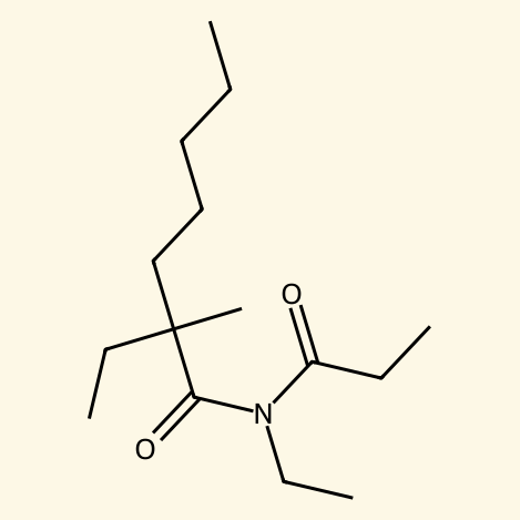 CCCCCC(C)(CC)C(=O)N(CC)C(=O)CC